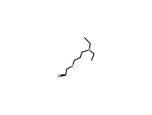 CCN(CC)CCCSCC=O